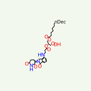 CCCCCCCCCCCCCCCCC(=O)OCC(COO)OC(=O)CCNc1cccc2c1CN([C@@H]1CCC(=O)NC1=O)C2=O